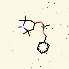 CN1C(C)(C)CC(O[SiH](C)OCc2ccccc2)CC1(C)C